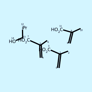 C=C(C)C(=O)O.C=C(C)C(=O)O.C=C(C)C(=O)O.CC(C)CO